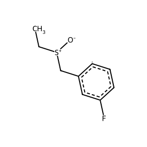 CC[S+]([O-])Cc1[c]ccc(F)c1